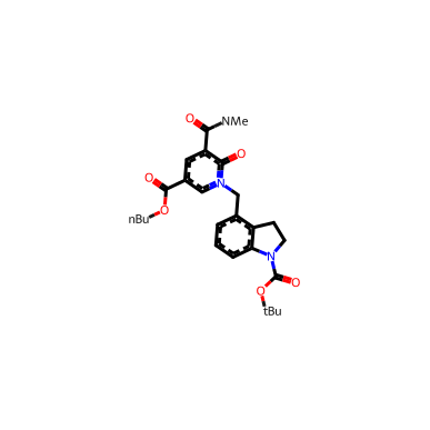 CCCCOC(=O)c1cc(C(=O)NC)c(=O)n(Cc2cccc3c2CCN3C(=O)OC(C)(C)C)c1